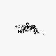 Nc1nc(C(=O)C(=O)NC2C(=O)N3C(C(=O)O)=C(CO)CSC23)cs1